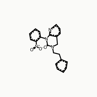 O=C1N(CCc2ccccc2)Cc2cccnc2N1c1ccccc1[N+](=O)[O-]